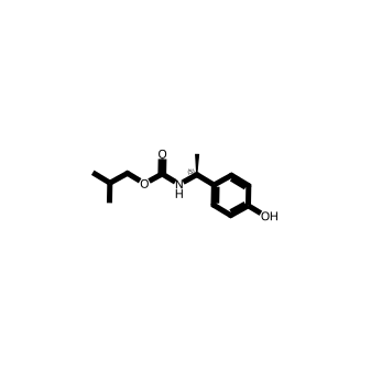 CC(C)COC(=O)N[C@@H](C)c1ccc(O)cc1